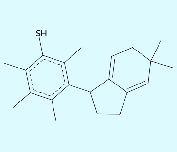 Cc1c(C)c(S)c(C)c(C2CCC3=CC(C)(C)CC=C32)c1C